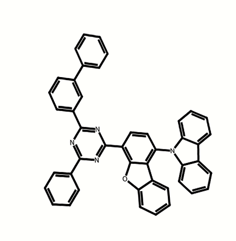 c1ccc(-c2cccc(-c3nc(-c4ccccc4)nc(-c4ccc(-n5c6ccccc6c6ccccc65)c5c4oc4ccccc45)n3)c2)cc1